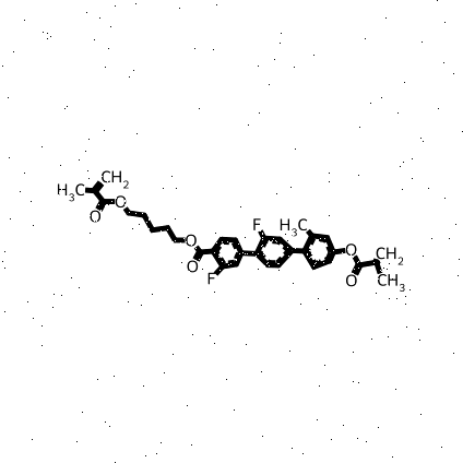 C=C(C)C(=O)OCCCCCOC(=O)c1ccc(-c2ccc(-c3ccc(OC(=O)C(=C)C)cc3C)cc2F)cc1F